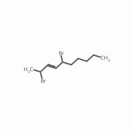 CCCCCC(Br)/C=C/C(C)Br